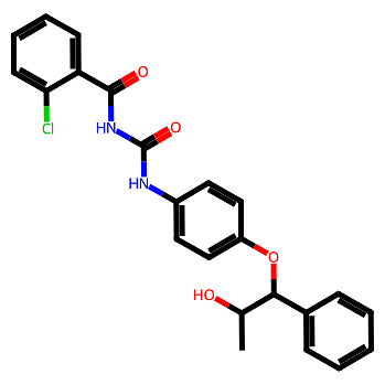 CC(O)C(Oc1ccc(NC(=O)NC(=O)c2ccccc2Cl)cc1)c1ccccc1